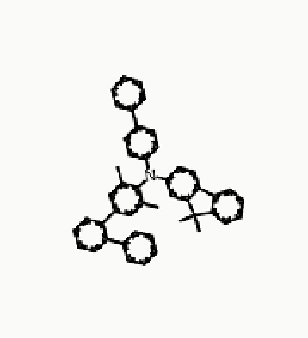 Cc1cc(-c2ccccc2-c2ccccc2)cc(C)c1N(c1ccc(-c2ccccc2)cc1)c1ccc2c(c1)C(C)(C)c1ccccc1-2